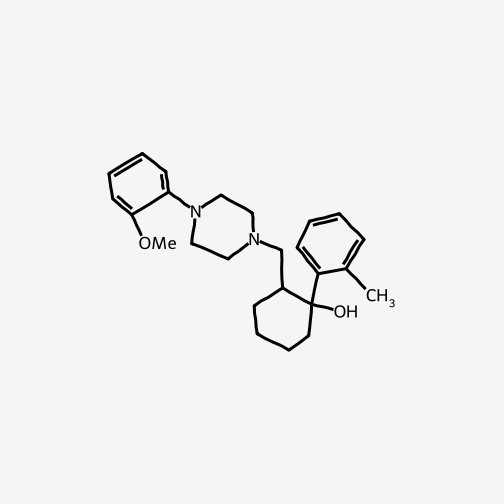 COc1ccccc1N1CCN(CC2CCCCC2(O)c2ccccc2C)CC1